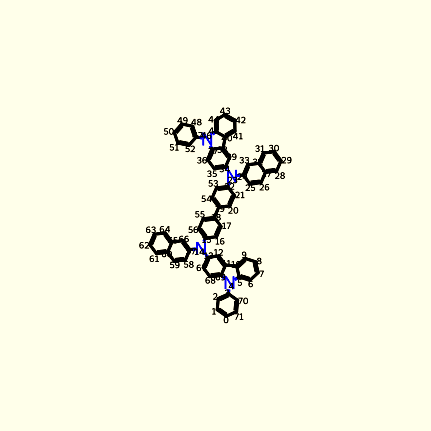 c1ccc(-n2c3ccccc3c3cc(N(c4ccc(-c5ccc(N(c6ccc7ccccc7c6)c6ccc7c(c6)c6ccccc6n7-c6ccccc6)cc5)cc4)c4ccc5ccccc5c4)ccc32)cc1